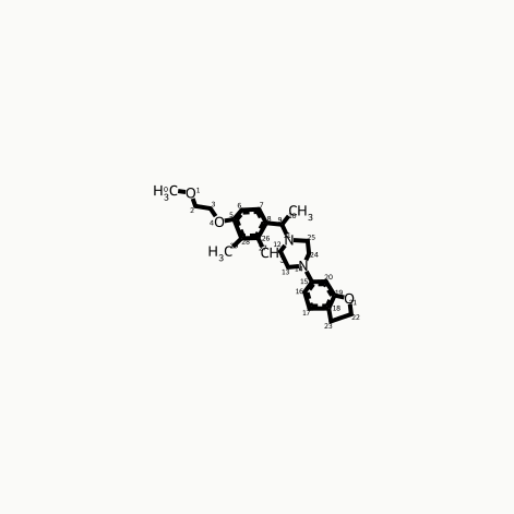 COCCOc1ccc(C(C)N2CCN(c3ccc4c(c3)OCC4)CC2)c(C)c1C